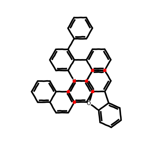 c1ccc(-c2ccccc2-c2c(-c3ccccc3)cccc2N(c2cccc3ccccc23)c2cccc3c2oc2ccccc23)cc1